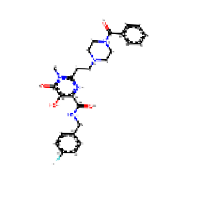 Cn1c(CCN2CCN(C(=O)c3ccccc3)CC2)nc(C(=O)NCc2ccc(F)cc2)c(O)c1=O